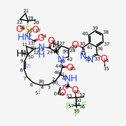 CC[C@@H]1C[C@H](C)CC/C=C\[C@@H]2C[C@@]2(C(=O)NS(=O)(=O)C2(C)CC2)NC(=O)[C@@H]2C[C@@H](Oc3nnc(OC)c4ccccc34)CN2C(=O)[C@H]1NC(=O)OC(C)(C)C(F)(F)F